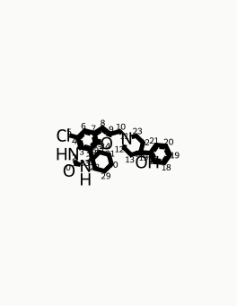 O=C1Nc2c(Cl)cc3cc(CN4CCC(O)(c5ccccc5)CC4)oc3c2C2(CCCCC2)N1